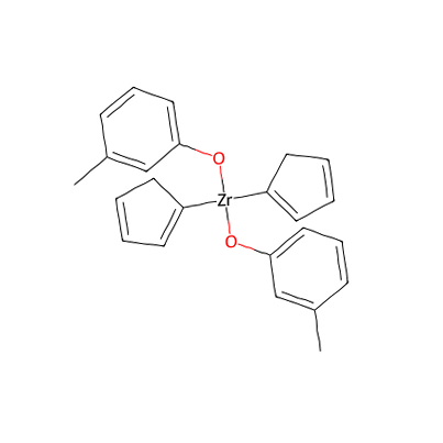 Cc1cccc([O][Zr]([O]c2cccc(C)c2)([C]2=CC=CC2)[C]2=CC=CC2)c1